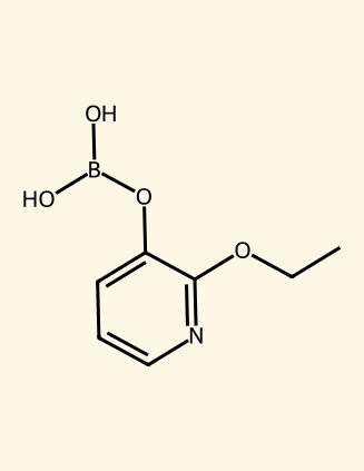 CCOc1ncccc1OB(O)O